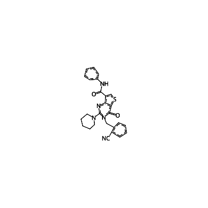 N#Cc1ccccc1Cn1c(N2CCCCC2)nc2c(C(=O)Nc3ccccc3)csc2c1=O